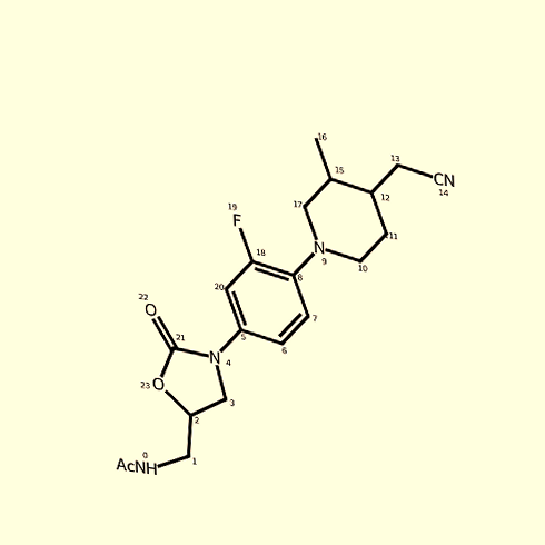 CC(=O)NCC1CN(c2ccc(N3C[CH][C](CC#N)C(C)C3)c(F)c2)C(=O)O1